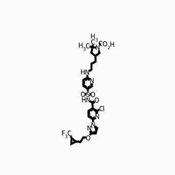 CC1(C)CC(CCCNc2ccc(S(=O)(=O)NC(=O)c3ccc(-n4ccc(OCCC5CC5C(F)(F)F)n4)nc3Cl)cn2)CN1C(=O)O